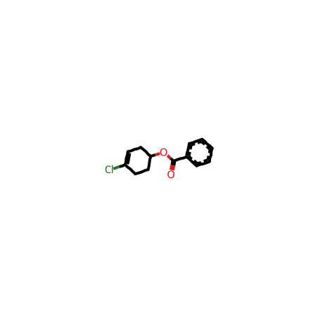 O=C(OC1CC=C(Cl)CC1)c1ccccc1